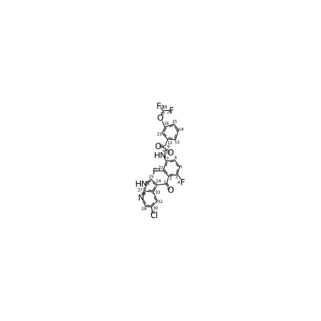 O=C(c1c(F)ccc(NS(=O)(=O)c2cccc(OC(F)F)c2)c1F)c1c[nH]c2ncc(Cl)cc12